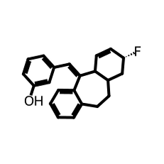 Oc1cccc(/C=C2\c3ccccc3CCC3C[C@@H](F)C=CC23)c1